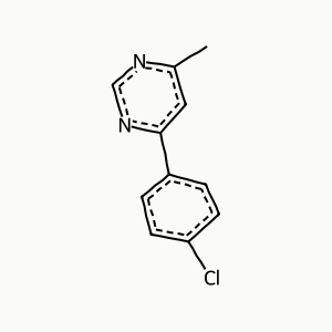 Cc1cc(-c2ccc(Cl)cc2)ncn1